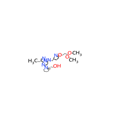 CCOC(CCOc1ccc(CNc2cc(N3CCCC[C@H]3CCO)nc3c(CC)cnn23)cn1)OCC